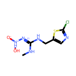 CN/C(=N\[NH+]([O-])O)NCc1cnc(Cl)s1